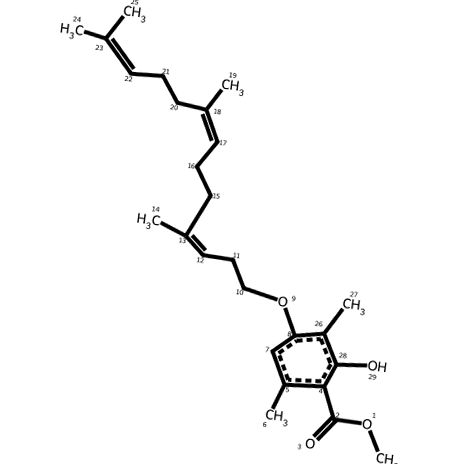 COC(=O)c1c(C)cc(OCCC=C(C)CCC=C(C)CCC=C(C)C)c(C)c1O